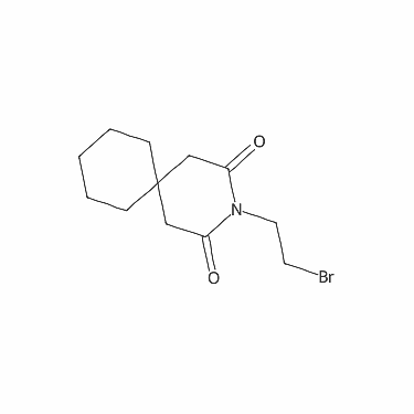 O=C1CC2(CCCCC2)CC(=O)N1CCBr